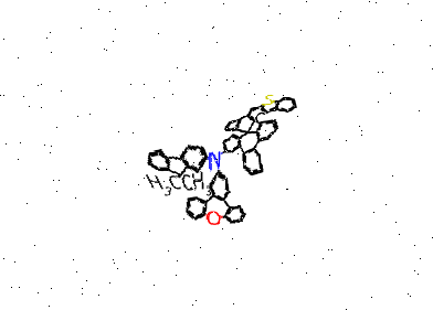 CC1(C)c2ccccc2-c2ccc(N(c3ccc4c(c3)-c3ccccc3Oc3ccccc3-4)c3ccc4c(c3)-c3ccccc3-c3ccccc3C43c4ccccc4-c4cc5sc6ccccc6c5cc43)cc21